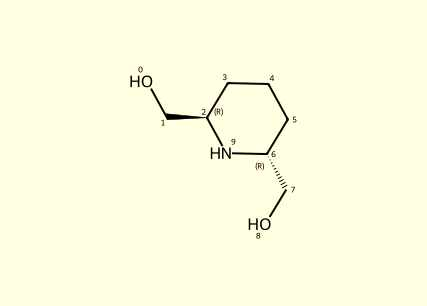 OC[C@H]1CCC[C@H](CO)N1